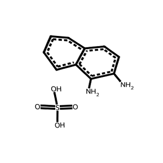 Nc1ccc2ccccc2c1N.O=S(=O)(O)O